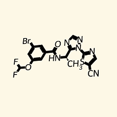 C[C@H](NC(=O)c1cc(Br)cc(OC(F)F)c1)c1ncnn1-c1ncc(C#N)s1